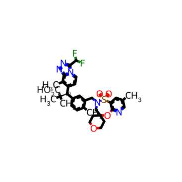 Cc1cnc2c(c1)S(=O)(=O)N(Cc1cc([C@H](c3ccn4c(C(F)F)nnc4c3C)C(C)(C)C(=O)O)ccc1C)CC1(CCOCC1)O2